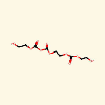 O=C(OCCO)OCCOC(=O)OC(=O)OCCO